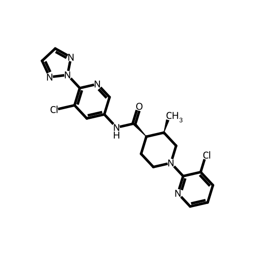 C[C@H]1CN(c2ncccc2Cl)CC[C@H]1C(=O)Nc1cnc(-n2nccn2)c(Cl)c1